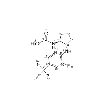 O=C(O)N[C@H]1CCC[C@@H]1Nc1ncc(C(F)(F)F)cc1F